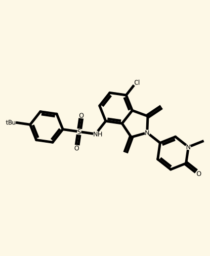 C=c1c2c(Cl)ccc(NS(=O)(=O)c3ccc(C(C)(C)C)cc3)c2c(=C)n1-c1ccc(=O)n(C)c1